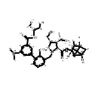 COc1c(CN2O[C@@H](CO)[C@@H]([C@H](C)O)[C@H]2C(=O)N[C@H]2C[C@H]3C[C@@H]([C@@H]2C)C3(C)C)cccc1-c1cc(C(=O)N[C@H](CO)CC(C)C)cc(N(C)C)c1